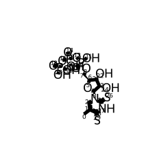 Cc1cn([C@H]2O[C@@H](COP(=O)(O)OP(=O)(O)OP(=O)(O)O)C(O)[C@H]2O)c(=S)[nH]c1=S